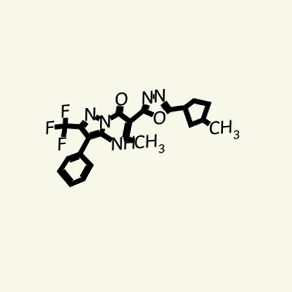 Cc1[nH]c2c(-c3ccccc3)c(C(F)(F)F)nn2c(=O)c1-c1nnc(C2CCC(C)C2)o1